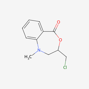 CN1CC(CCl)OC(=O)c2ccccc21